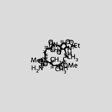 CCC(=O)NC1=C2CC(C)CC(OC)C(O)C(C)/C=C(\C)C(OC(N)=O)C(OC)/C=C\C=C(/C)C(=O)NC(=CC1=O)C2=O